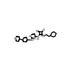 O=c1c(NCCC2CCCCC2)c(Nc2ccnc(Nc3ccc(-c4ccncc4)cc3)n2)c1=O